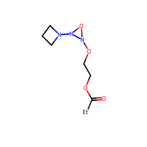 CCC(=O)OCCOn1on1N1CCC1